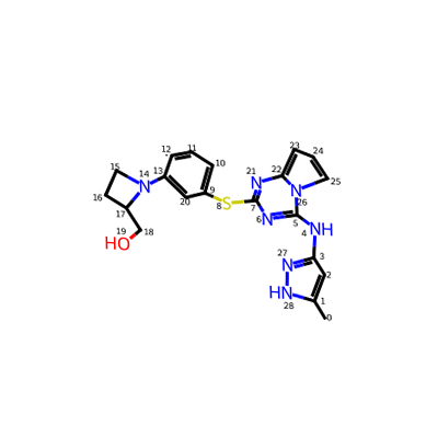 Cc1cc(Nc2nc(Sc3cc[c]c(N4CCC4CO)c3)nc3cccn23)n[nH]1